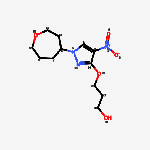 O=[N+]([O-])c1cn(C2CCCOCC2)nc1OCCCO